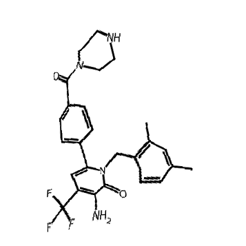 Cc1ccc(Cn2c(-c3ccc(C(=O)N4CCNCC4)cc3)cc(C(F)(F)F)c(N)c2=O)c(C)c1